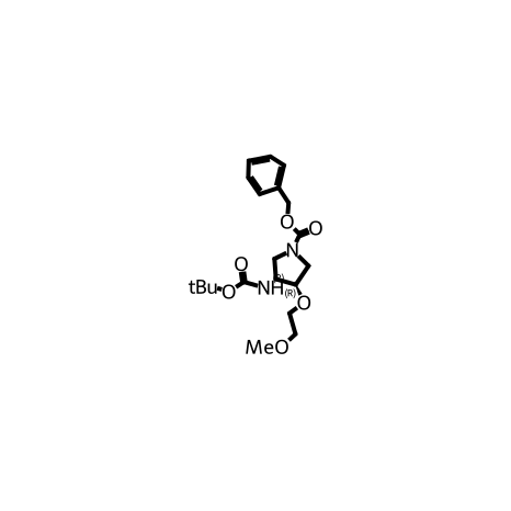 COCCO[C@@H]1CN(C(=O)OCc2ccccc2)C[C@H]1NC(=O)OC(C)(C)C